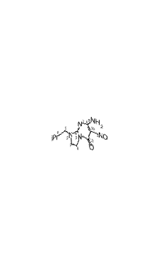 CC(C)CN1CCn2c1nc(N)c(N=O)c2=O